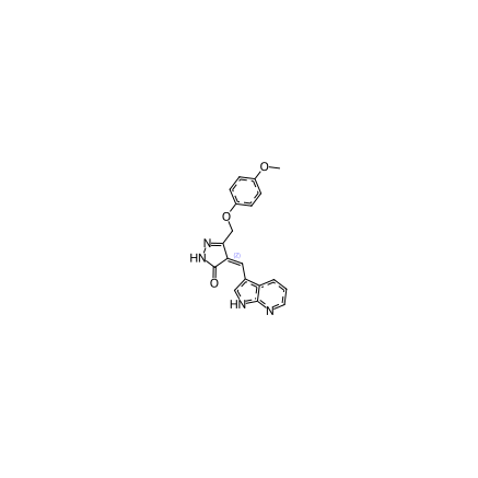 COc1ccc(OCC2=NNC(=O)/C2=C\c2c[nH]c3ncccc23)cc1